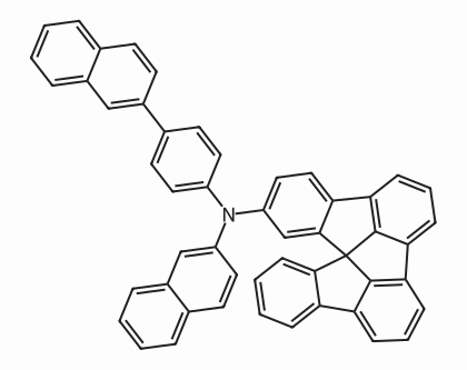 c1ccc2c(c1)-c1cccc3c1C21c2cc(N(c4ccc(-c5ccc6ccccc6c5)cc4)c4ccc5ccccc5c4)ccc2-c2cccc-3c21